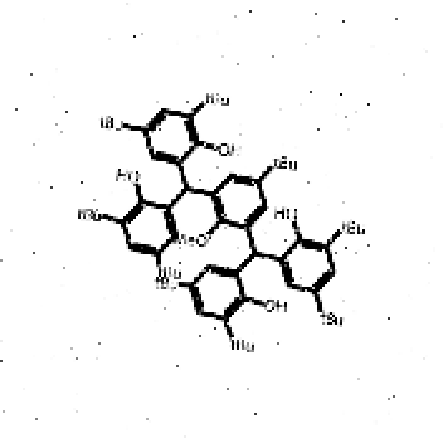 COc1c(C(c2cc(C(C)(C)C)cc(C(C)(C)C)c2O)c2cc(C(C)(C)C)cc(C(C)(C)C)c2O)cc(C(C)(C)C)cc1C(c1cc(C(C)(C)C)cc(C(C)(C)C)c1O)c1cc(C(C)(C)C)cc(C(C)(C)C)c1O